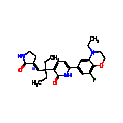 CCN1CCOc2c(F)cc(-c3ccc(C(/C=C4\CCNC4=O)(CC)CC)c(=O)[nH]3)cc21